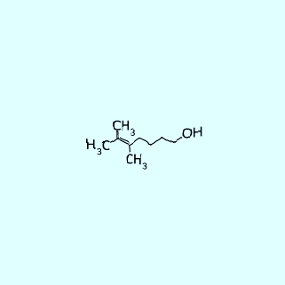 CC(C)=C(C)CCCCO